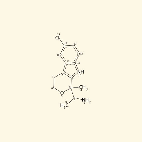 CC(N)C1(C)OCCc2c1[nH]c1ccc(Cl)cc21